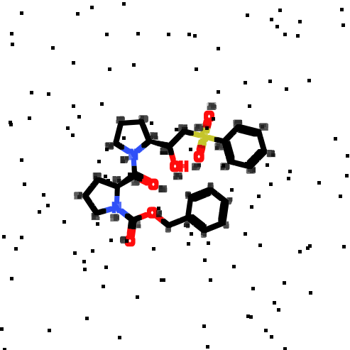 O=C(OCc1ccccc1)N1CCC[C@H]1C(=O)N1CCC[C@H]1C(O)CS(=O)(=O)c1ccccc1